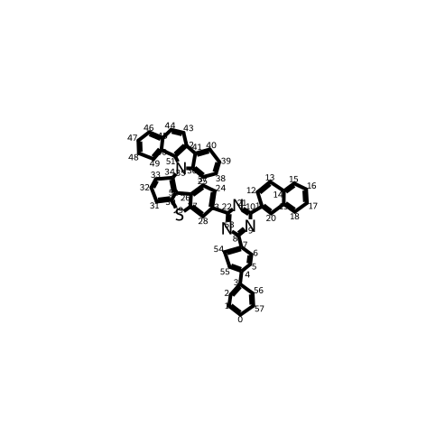 c1ccc(-c2ccc(-c3nc(-c4ccc5ccccc5c4)nc(-c4ccc5c(c4)sc4cccc(-n6c7ccccc7c7ccc8ccccc8c76)c45)n3)cc2)cc1